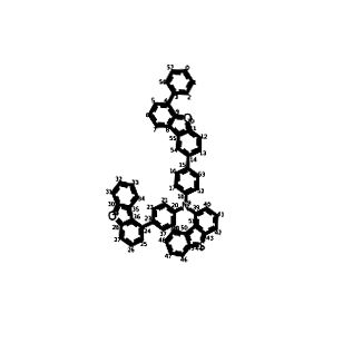 c1ccc(-c2cccc3c2oc2ccc(-c4ccc(N(c5ccc(-c6cccc7oc8ccccc8c67)cc5)c5cccc6sc7ccccc7c56)cc4)cc23)cc1